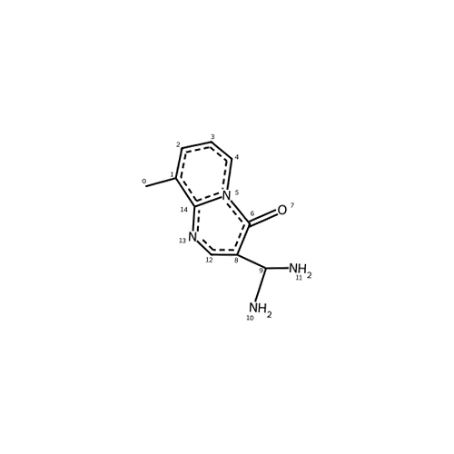 Cc1cccn2c(=O)c(C(N)N)cnc12